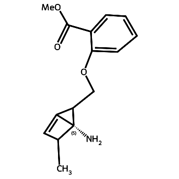 COC(=O)c1ccccc1OCC1C2=CC(C)[C@@]21N